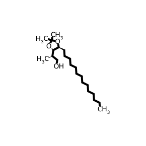 CCCCCCCCCCCCCC[C@@H]1OC(C)(C)O[C@H]1[C@@H](C)CO